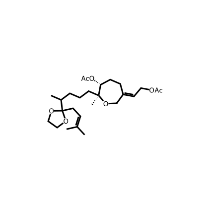 CC(=O)OC/C=C1\CC[C@@H](OC(C)=O)[C@](C)(CCCC(C)C2(CC=C(C)C)OCCO2)OC1